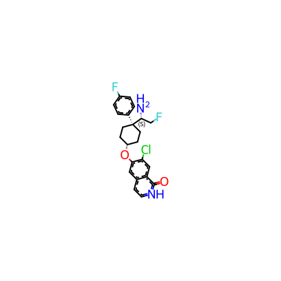 N[C@H](CF)[C@]1(c2ccc(F)cc2)CC[C@@H](Oc2cc3cc[nH]c(=O)c3cc2Cl)CC1